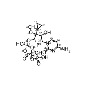 COC(COP(=O)(O)OP(=O)(O)OP(=O)(O)O)(C1CC1)[C@@H](O)[C@@H](F)n1ccc(N)nc1=O